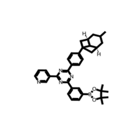 CC1C[C@@H]2CC3(c4ccc(-c5nc(-c6cccnc6)nc(-c6cccc(B7OC(C)(C)C(C)(C)O7)c6)n5)cc4)C[C@H](C1)C23